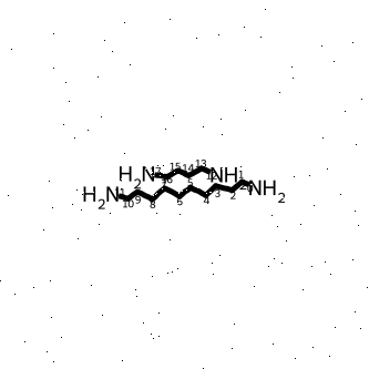 NCCCCCCCCCCN.NCCCCN